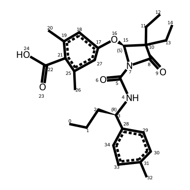 CCC[C@@H](NC(=O)N1C(=O)C(CC)(CC)[C@@H]1Oc1cc(C)c(C(=O)O)c(C)c1)c1ccc(C)cc1